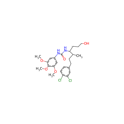 COc1cc(NC(=O)NC([CH]CCO)C(C)CCc2ccc(Cl)c(Cl)c2)cc(OC)c1OC